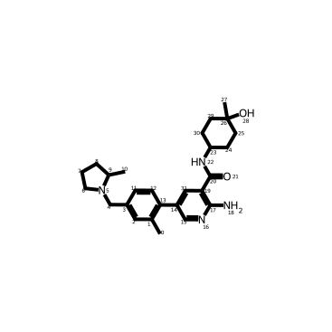 Cc1cc(CN2CCCC2C)ccc1-c1cnc(N)c(C(=O)NC2CCC(C)(O)CC2)c1